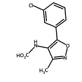 Cc1noc(-c2cccc(Cl)c2)c1NC(=O)O